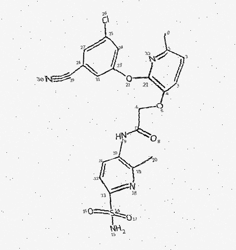 Cc1ccc(OCC(=O)Nc2ccc(S(N)(=O)=O)nc2C)c(Oc2cc(Cl)cc(C#N)c2)n1